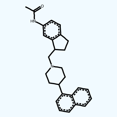 CC(=O)Nc1ccc2c(c1)C(CN1CCC(c3cccc4ccccc34)CC1)CC2